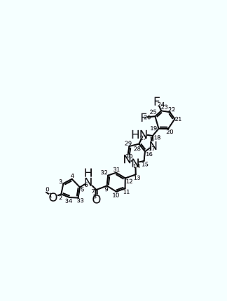 COc1ccc(NC(=O)c2ccc(CN3Cc4nc(-c5cccc(F)c5F)[nH]c4C=N3)cc2)cc1